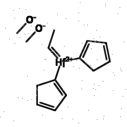 C[CH]=[Hf+2]([C]1=CC=CC1)[C]1=CC=CC1.C[O-].C[O-]